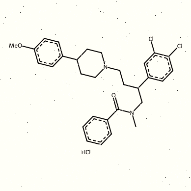 COc1ccc(C2CCN(CCC(CN(C)C(=O)c3ccccc3)c3ccc(Cl)c(Cl)c3)CC2)cc1.Cl